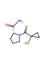 NC(=O)[C@H]1[CH]CCN1C(=O)C1(O)CC1